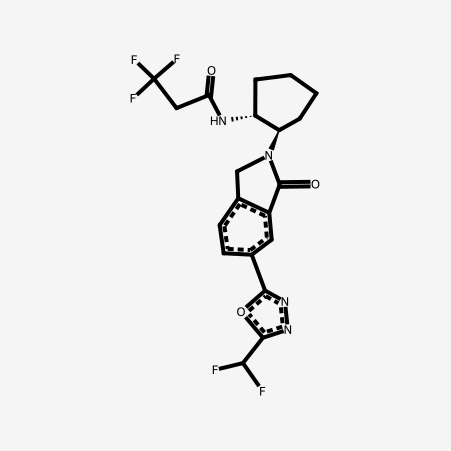 O=C(CC(F)(F)F)N[C@@H]1CCCC[C@H]1N1Cc2ccc(-c3nnc(C(F)F)o3)cc2C1=O